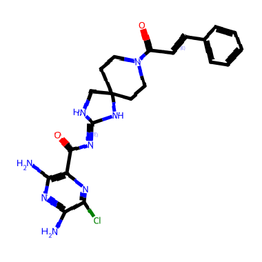 Nc1nc(N)c(C(=O)/N=C2\NCC3(CCN(C(=O)/C=C/c4ccccc4)CC3)N2)nc1Cl